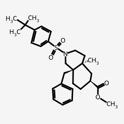 COC(=O)[C@H]1CC[C@]2(Cc3ccccc3)CN(S(=O)(=O)c3ccc(C(C)(C)C)cc3)CC[C@@]2(C)C1